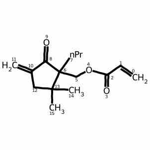 C=CC(=O)OCC1(CCC)C(=O)C(=C)CC1(C)C